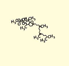 COC(=O)C(C)Oc1c(C)c(C)c2c(c1C)CC[C@@H](CCC[C@H](C)CCC[C@H](C)CCCC(C)C)O2